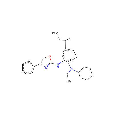 CC(C)CN(c1ccc(C(C)CC(=O)O)cc1NC1=NC(c2ccccc2)CO1)C1CCCCC1